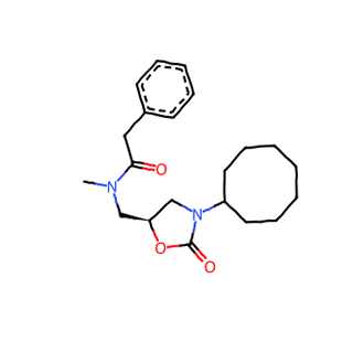 CN(C[C@H]1CN(C2CCCCCCC2)C(=O)O1)C(=O)Cc1ccccc1